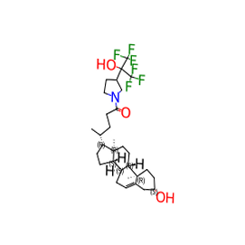 CC(CCC(=O)N1CCC(C(O)(C(F)(F)F)C(F)(F)F)C1)[C@H]1CC[C@H]2[C@@H]3CC=C4C[C@@H](O)CC[C@]4(C)[C@H]3CC[C@]12C